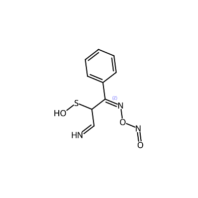 N=CC(SO)/C(=N\ON=O)c1ccccc1